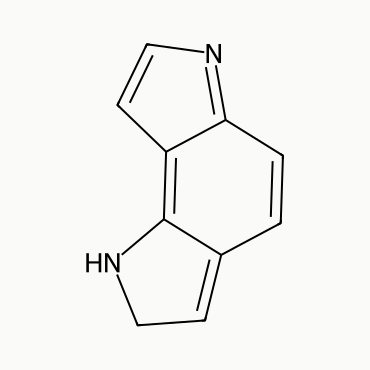 C1=Cc2c3c(ccc2=N1)=CCN3